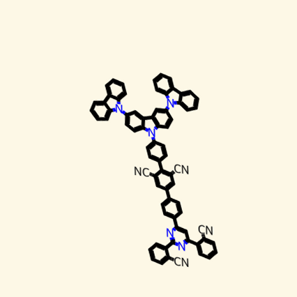 N#Cc1ccccc1-c1cc(-c2ccc(-c3cc(C#N)c(-c4ccc(-n5c6ccc(-n7c8ccccc8c8ccccc87)cc6c6cc(-n7c8ccccc8c8ccccc87)ccc65)cc4)c(C#N)c3)cc2)nc(-c2ccccc2C#N)n1